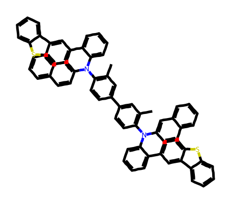 Cc1cc(-c2ccc(N(c3ccc4ccccc4c3)c3ccccc3-c3ccc4sc5ccccc5c4c3)c(C)c2)ccc1N(c1ccc2ccccc2c1)c1ccccc1-c1ccc2sc3ccccc3c2c1